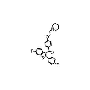 O=C(c1ccc(OCCN2CCCCC2)cc1)c1c(-c2ccc(F)cc2)sc2cc(F)ccc12